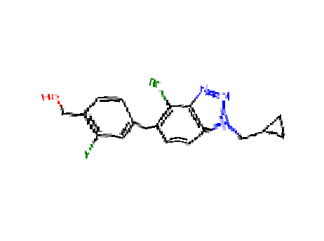 OCc1ccc(-c2ccc3c(nnn3CC3CC3)c2Br)cc1F